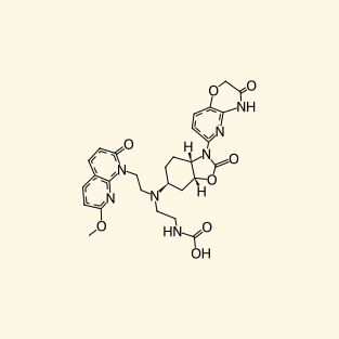 COc1ccc2ccc(=O)n(CCN(CCNC(=O)O)[C@H]3CC[C@H]4[C@@H](C3)OC(=O)N4c3ccc4c(n3)NC(=O)CO4)c2n1